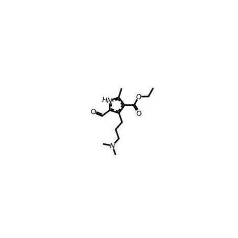 CCOC(=O)c1c(C)[nH]c(C=O)c1CCCN(C)C